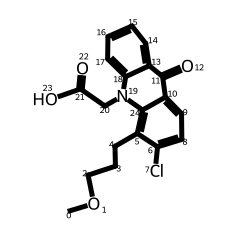 COCCCc1c(Cl)ccc2c(=O)c3ccccc3n(CC(=O)O)c12